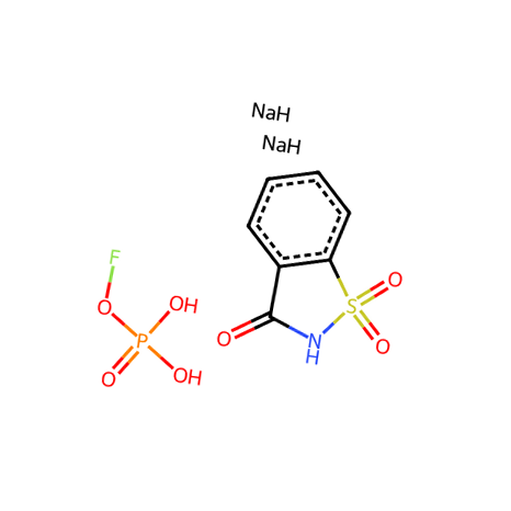 O=C1NS(=O)(=O)c2ccccc21.O=P(O)(O)OF.[NaH].[NaH]